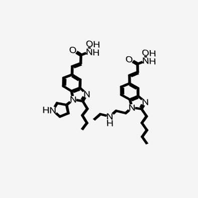 CCCCCc1nc2cc(C=CC(=O)NO)ccc2n1CCNCC.CCCCc1nc2cc(C=CC(=O)NO)ccc2n1C1CCNC1